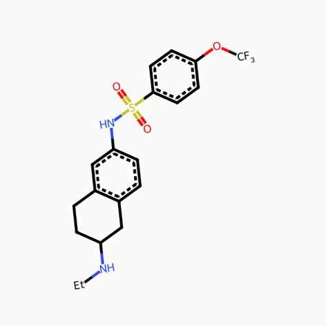 CCNC1CCc2cc(NS(=O)(=O)c3ccc(OC(F)(F)F)cc3)ccc2C1